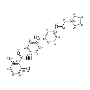 O=C(Nc1cnc(Nc2cccc(OCCN3CCCC3)c2)nc1)c1c(Cl)cccc1Cl